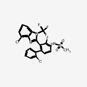 CS(=O)(=O)Nc1ccc(-c2ccccc2Cl)c(-c2nc3c(Cl)cccc3n2C(F)(F)F)c1F